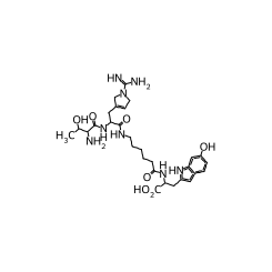 CC(O)C(N)C(=O)NC(CC1=CCN(C(=N)N)C1)C(=O)NCCCCCC(=O)NC(Cc1cc2ccc(O)cc2[nH]1)C(=O)O